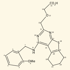 COc1ccccc1CNc1nc(COCC(=O)O)nc2sc3c(c12)CCCC3